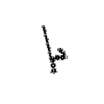 COCCOCCOCCOCCOCCOCCOCCCOc1nn(C2CCC(N3C[C@@H](C)O[C@@H](C)C3)CC2)cc1Nc1ncc(-c2ccc(Cl)c(O[C@@H](C)Cn3cncn3)c2)cn1